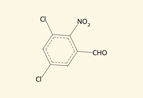 O=Cc1cc(Cl)cc(Cl)c1[N+](=O)[O-]